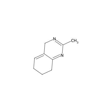 CC1=NCC2=CCCCC2=N1